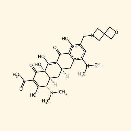 CC(=O)C1=C(O)[C@@H](N(C)C)[C@@H]2C[C@@H]3Cc4c(N(C)C)cc(CN5CC6(COC6)C5)c(O)c4C(=O)C3=C(O)[C@]2(O)C1=O